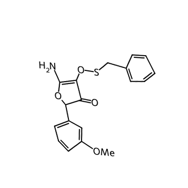 COc1cccc(C2OC(N)=C(OSCc3ccccc3)C2=O)c1